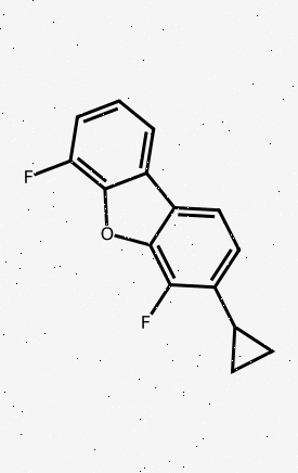 Fc1cccc2c1oc1c(F)c(C3CC3)ccc12